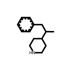 CC(Cc1ccccc1)C1CCNCC1